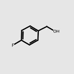 O[CH]c1ccc(F)cc1